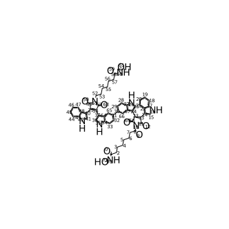 O=C(CCCCCCC(=O)N1C(=O)C(c2c[nH]c3ccccc23)=C(c2c[nH]c3ccc(-c4ccc5[nH]cc(C6=C(c7c[nH]c8ccccc78)C(=O)N(CCCCCCC(=O)NO)C6=O)c5c4)cc23)C1=O)NO